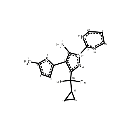 Nc1c(-c2ccc(C(F)(F)F)s2)c(C(F)(F)C2CC2)nn1-c1ncccn1